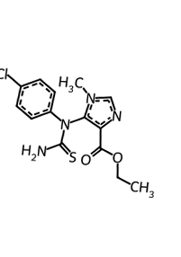 CCOC(=O)c1ncn(C)c1N(C(N)=S)c1ccc(Cl)cc1